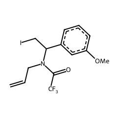 C=CCN(C(=O)C(F)(F)F)C(CI)c1cccc(OC)c1